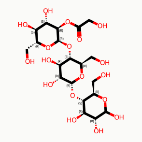 O=C(CO)O[C@H]1[C@@H](O[C@H]2[C@H](O)[C@@H](O)[C@@H](O[C@H]3[C@H](O)[C@@H](O)C(O)O[C@@H]3CO)O[C@@H]2CO)O[C@H](CO)[C@@H](O)[C@@H]1O